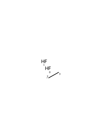 F.F.[CH2]C